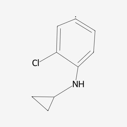 Clc1c[c]ccc1NC1CC1